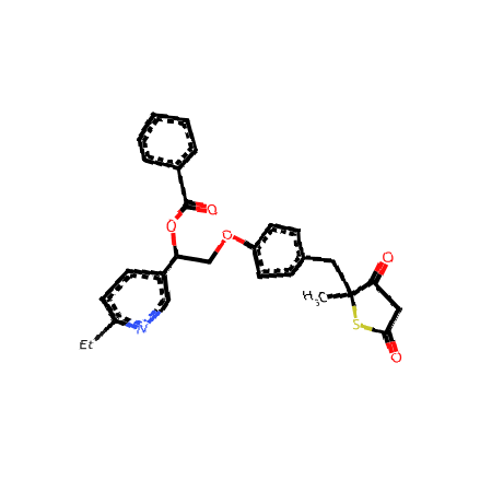 CCc1ccc(C(COc2ccc(CC3(C)SC(=O)CC3=O)cc2)OC(=O)c2ccccc2)cn1